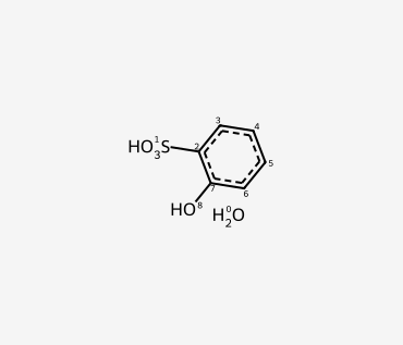 O.O=S(=O)(O)c1ccccc1O